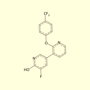 Oc1ncc(-c2cccnc2Oc2ccc(C(F)(F)F)cc2)cc1F